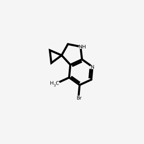 Cc1c(Br)cnc2c1C1(CC1)CN2